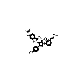 O=C(N[C@@H]1C(=O)N(c2cccn(CCO)c2=O)C[C@H]1c1ccc(Cl)cc1)c1ccc(OC(F)F)cc1